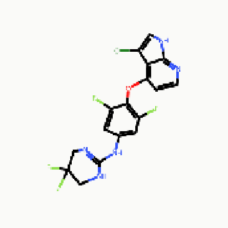 Fc1cc(NC2=NCC(F)(F)CN2)cc(F)c1Oc1ccnc2[nH]cc(Cl)c12